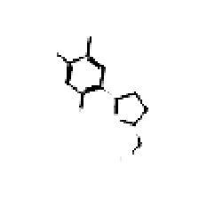 Cc1cc([C@H]2CC[C@@H](CO)O2)c(F)cc1F